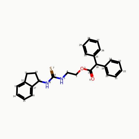 O=C(OCCNC(=S)NC1CCc2ccccc21)C(c1ccccc1)c1ccccc1